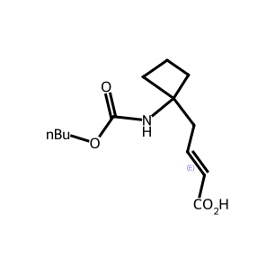 CCCCOC(=O)NC1(C/C=C/C(=O)O)CCC1